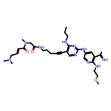 CCCNc1nc(Nc2cnc(NCCOC)c(C(C)=N)c2)ncc1C#CCCCNC(=O)CN(C)C(=O)/C=C/CN(C)C